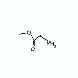 COC(=O)CP